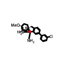 BC1(B)OC(N)=N[C@]12c1cc(-c3cccc(Cl)c3)ccc1C[C@]21CC[C@@H](OC)[C@H](C)C1